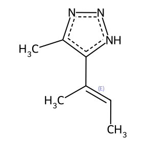 C/C=C(\C)c1[nH]nnc1C